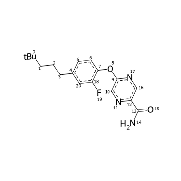 CC(C)(C)CCCc1ccc(Oc2cnc(C(N)=O)cn2)c(F)c1